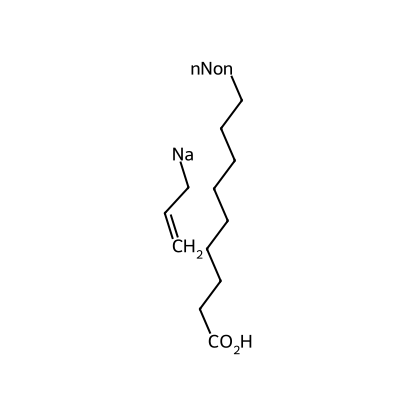 C=C[CH2][Na].CCCCCCCCCCCCCCCCCC(=O)O